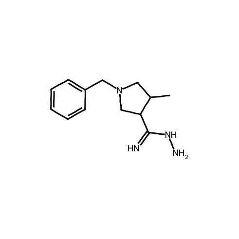 CC1CN(Cc2ccccc2)CC1C(=N)NN